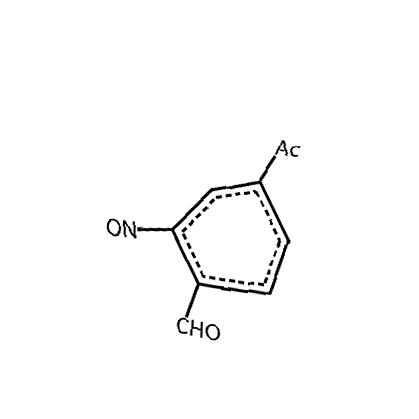 CC(=O)c1ccc(C=O)c(N=O)c1